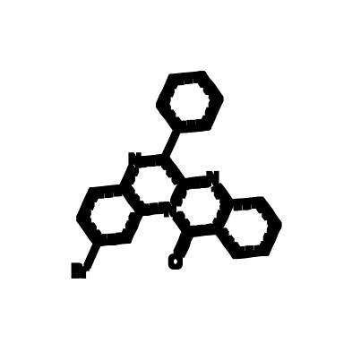 O=c1c2ccccc2nc2c(-c3ccccc3)nc3ccc(Br)cc3n12